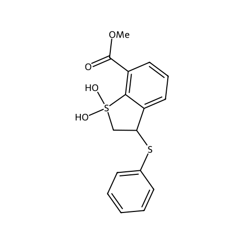 COC(=O)c1cccc2c1S(O)(O)CC2Sc1ccccc1